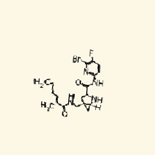 C=CCC[C@@H](C)C(=O)NC[C@@]12C[C@@H](C(=O)Nc3ccc(F)c(Br)n3)N[C@@H]1C2